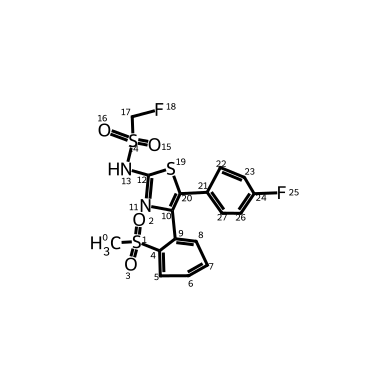 CS(=O)(=O)c1ccccc1-c1nc(NS(=O)(=O)CF)sc1-c1ccc(F)cc1